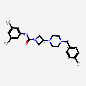 O=C(Nc1cc(C(F)(F)F)cc(C(F)(F)F)c1)N1CC(N2CCN(Cc3ccc(C(F)(F)F)cc3)CC2)C1